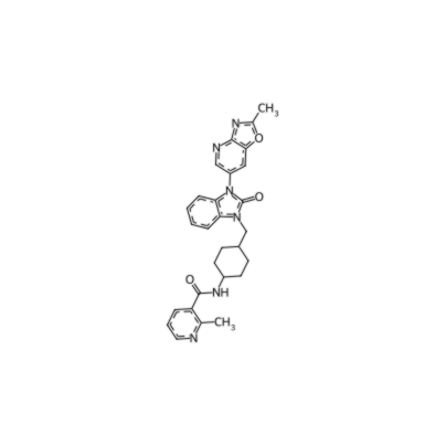 Cc1nc2ncc(-n3c(=O)n(CC4CCC(NC(=O)c5cccnc5C)CC4)c4ccccc43)cc2o1